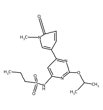 CCCS(=O)(=O)Nc1cc(-c2ccc(=O)n(C)c2)nc(OC(C)C)n1